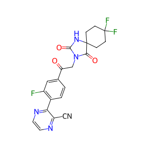 N#Cc1nccnc1-c1ccc(C(=O)CN2C(=O)NC3(CCC(F)(F)CC3)C2=O)cc1F